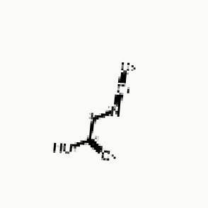 O=C=NCC(=O)O